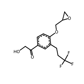 O=C(CO)c1ccc(OCC2CO2)c(CCC(F)(F)F)c1